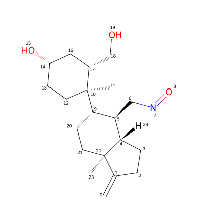 C=C1CC[C@H]2[C@H](CN=O)[C@@H]([C@@]3(C)CC[C@H](O)C[C@@H]3CO)CC[C@]12C